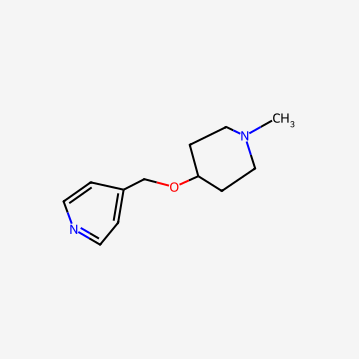 CN1CCC(OCc2ccncc2)CC1